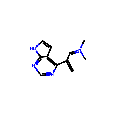 C=C(C=[N+](C)C)c1ncnc2[nH]ccc12